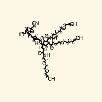 C#CCOCCOCCNC(=O)CCC(CCC(=O)NCCOCCOCC#C)(CCC(=O)NCCOCCOCC#C)NC(=O)C12CC(OP(OCCC#N)N(C(C)C)C(C)C)(C1)C2